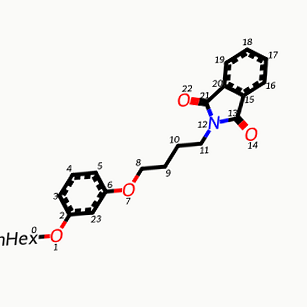 CCCCCCOc1cccc(OCCCCN2C(=O)c3ccccc3C2=O)c1